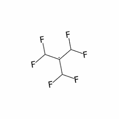 FC(F)[C](C(F)F)C(F)F